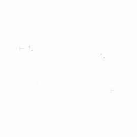 NC(=S)c1ccnc(C(F)(F)F)c1